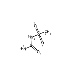 CS(=O)(=O)NC([NH])=O